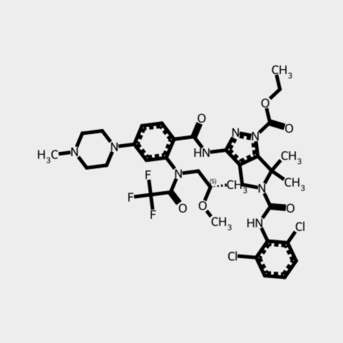 CCOC(=O)n1nc(NC(=O)c2ccc(N3CCN(C)CC3)cc2N(C[C@H](C)OC)C(=O)C(F)(F)F)c2c1C(C)(C)N(C(=O)Nc1c(Cl)cccc1Cl)C2